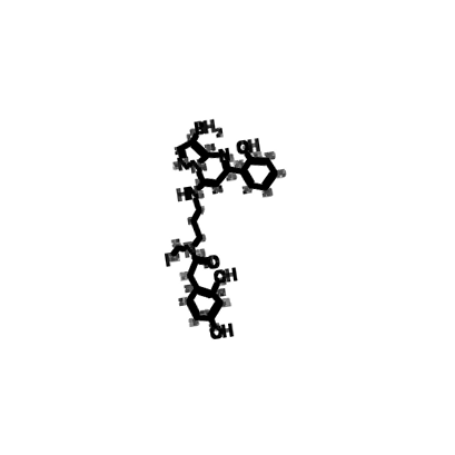 Bc1cnn2c(NCCCN(CF)C(=O)Cc3ccc(O)cc3O)cc(-c3ccccc3O)nc12